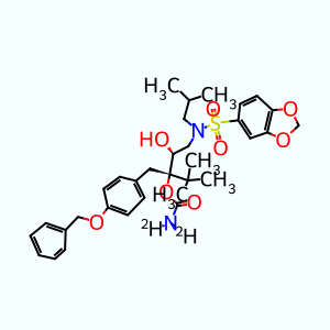 [2H]N([2H])C(=O)O[C@](Cc1ccc(OCc2ccccc2)cc1)([C@@H](O)CN(CC(C)C)S(=O)(=O)c1ccc2c(c1)OCO2)C(C)(C)C